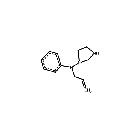 C=CCN(c1ccccc1)N1CCNC1